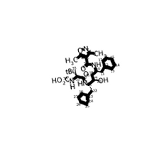 Cc1noc(C)c1C(=O)N[C@@H](Cc1ccccc1)C[C@@H](O)[C@H](Cc1ccccc1)NC(=O)[C@@H](NC(=O)O)C(C)(C)C